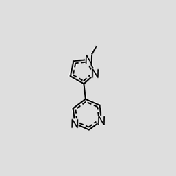 Cn1ccc(-c2cncnc2)n1